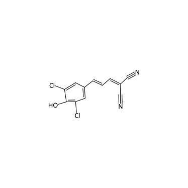 N#CC(C#N)=CC=Cc1cc(Cl)c(O)c(Cl)c1